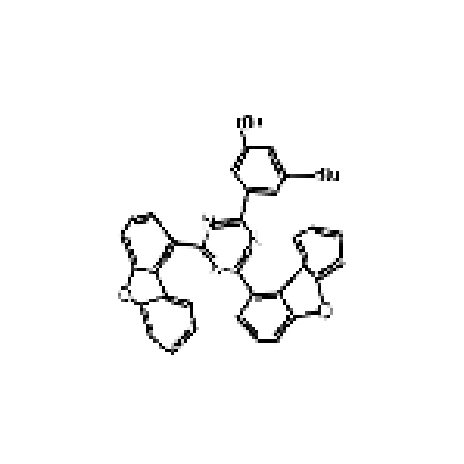 CC(C)(C)c1cc(-c2nc(-c3cccc4oc5ccccc5c34)nc(-c3cccc4oc5ccccc5c34)n2)cc(C(C)(C)C)c1